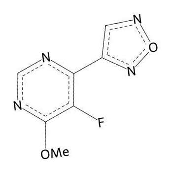 COc1ncnc(-c2cnon2)c1F